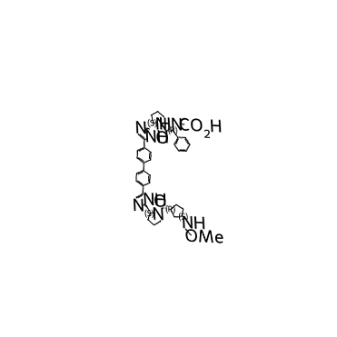 COCN[C@H]1CC[C@@H](C(=O)N2CCC[C@H]2c2ncc(-c3ccc(-c4ccc(-c5cnc([C@@H]6CCCN6C(=O)[C@H](NC(=O)O)c6ccccc6)[nH]5)cc4)cc3)[nH]2)C1